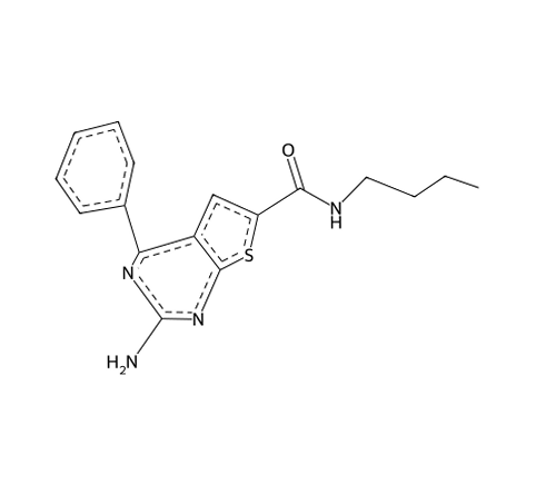 CCCCNC(=O)c1cc2c(-c3ccccc3)nc(N)nc2s1